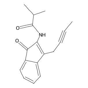 CC#CCC1=C(NC(=O)C(C)C)C(=O)c2ccccc21